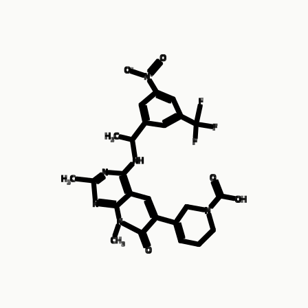 Cc1nc(NC(C)c2cc([N+](=O)[O-])cc(C(F)(F)F)c2)c2cc(C3=CCCN(C(=O)O)C3)c(=O)n(C)c2n1